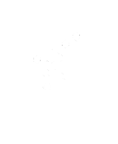 COC(=O)NCC(C)(C)CC(=O)NN(Cc1ccc(-c2ccccn2)cc1)CC(O)C(Cc1ccccc1)NC(=O)C(N1CCN(Cc2cccc(C)n2)C1=O)C(C)(C)C